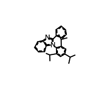 CC(C)c1cc(C(C)C)c(-n2c(-c3ccccc3)nc3ccccc32)c(C(C)C)c1